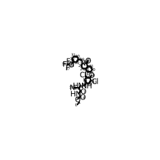 CCOC(=O)NC(=O)C(C#N)NNc1cc(Cl)c(Oc2ccc3c(c2)CCN(Cc2cccc(OC(F)(F)F)c2)C3=O)c(Cl)c1